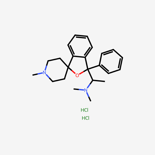 CC(N(C)C)C1(c2ccccc2)OC2(CCN(C)CC2)c2ccccc21.Cl.Cl